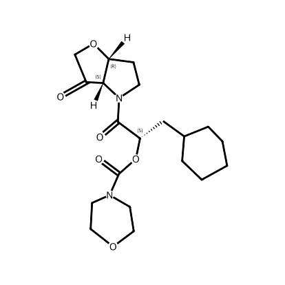 O=C1CO[C@@H]2CCN(C(=O)[C@H](CC3CCCCC3)OC(=O)N3CCOCC3)[C@H]12